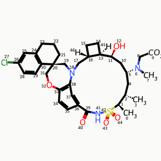 C[C@@H]1[C@@H](C)C[C@@H](N(C)CC(=O)O)C[C@H](O)[C@@H]2CC[C@H]2CN2C[C@@]3(CCCc4cc(Cl)ccc43)COc3ccc(cc32)C(=O)NS1(=O)=O